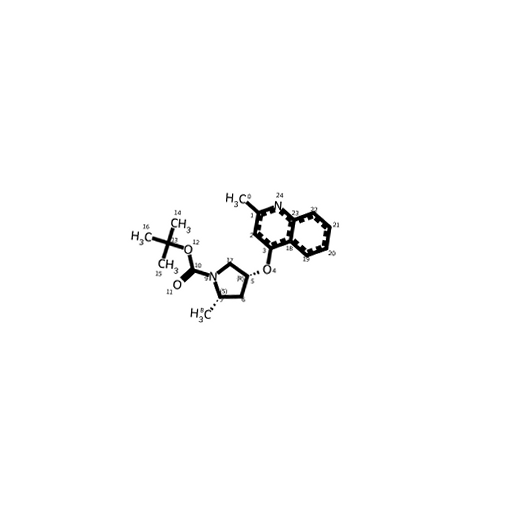 Cc1cc(O[C@@H]2C[C@H](C)N(C(=O)OC(C)(C)C)C2)c2ccccc2n1